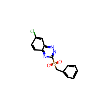 O=S(=O)(Cc1ccccc1)c1nnc2cc(Cl)ccc2n1